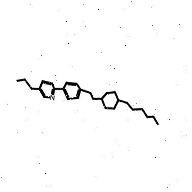 CCCCCCC1CCC(CCc2ccc(-c3ccc(CCC)cn3)cc2)CC1